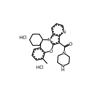 Cc1cccc(C)c1Oc1c(C(=O)N2CCNCC2)c2ncccc2n1C1CCCCC1.Cl.Cl